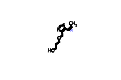 C/C=C\c1scnc1COCCCO